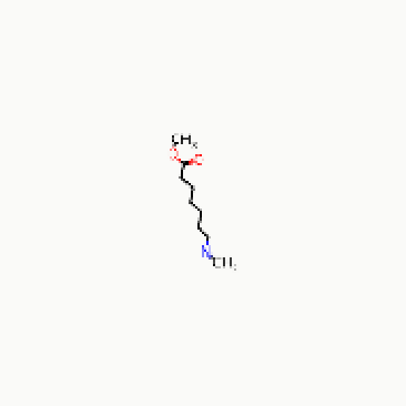 C=NCCCCCCC(=O)OC